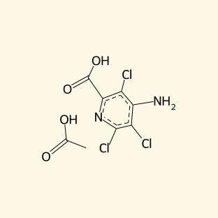 CC(=O)O.Nc1c(Cl)c(Cl)nc(C(=O)O)c1Cl